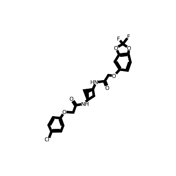 O=C(COc1ccc(Cl)cc1)NC12CC(NC(=O)COc3ccc4c(c3)OC(F)(F)O4)(C1)C2